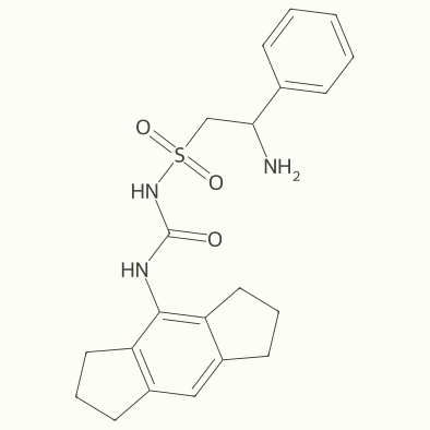 NC(CS(=O)(=O)NC(=O)Nc1c2c(cc3c1CCC3)CCC2)c1ccccc1